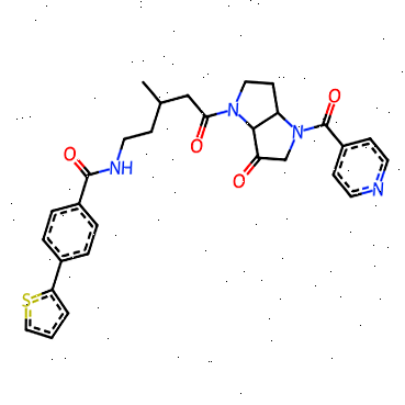 CC(CCNC(=O)c1ccc(-c2cccs2)cc1)CC(=O)N1CCC2C1C(=O)CN2C(=O)c1ccncc1